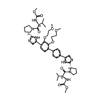 COCCOc1c(-c2ccc(-c3cnc([C@@H]4CCCN4C(=O)[C@@H](NC(=O)OC)C(C)C)[nH]3)cc2)ccc(-c2cnc([C@@H]3CCCN3C(=O)[C@@H](NC(=O)OC)C(C)C)[nH]2)c1OCCOC